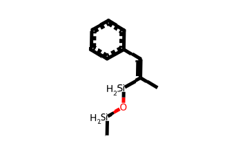 C[SiH2]O[SiH2]C(C)=Cc1ccccc1